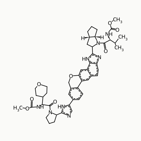 COC(=O)N[C@H](C(=O)N1C(c2nc3ccc4cc5c(cc4c3[nH]2)OCc2cc(-c3cnc(C4CCCN4C(=O)[C@@H](NC(=O)OC)C4CCOCC4)[nH]3)ccc2-5)C[C@@H]2CCC[C@@H]21)C(C)C